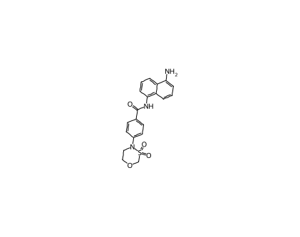 Nc1cccc2c(NC(=O)c3ccc(N4CCOCS4(=O)=O)cc3)cccc12